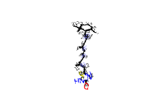 CC1=C(/C=C/C(C)=C/C=C/C(C)=C/c2nc(=O)[nH]s2)C(C)(C)CCC1